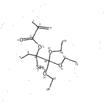 C=C(C)C(=O)OC([SiH3])(CC)C(OCC)(OCC)OCC